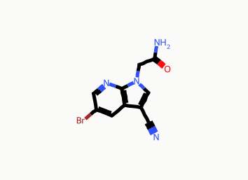 N#Cc1cn(CC(N)=O)c2ncc(Br)cc12